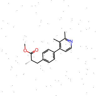 COC(=O)[C@@H](C)Cc1ccc(-c2ccnc(C)c2C)cc1